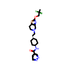 CC(F)(F)COc1nc2c(s1)CCN(CC[C@H]1CC[C@H](NC(=O)c3ccnnc3)CC1)C2